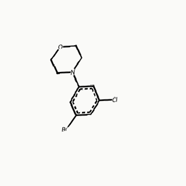 Clc1cc(Br)cc(N2CCOCC2)c1